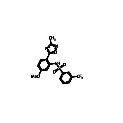 COc1ccc(-c2nc(C)no2)c(NS(=O)(=O)c2cccc(C(F)(F)F)c2)c1